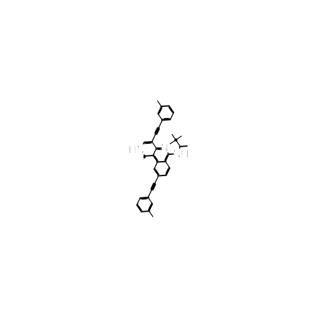 Cc1cccc(C#Cc2ccc3c(NC(C)C(C)(C)C)nc4c(C#Cc5cccc(C)c5)c[nH]c(=O)c4c3c2)c1